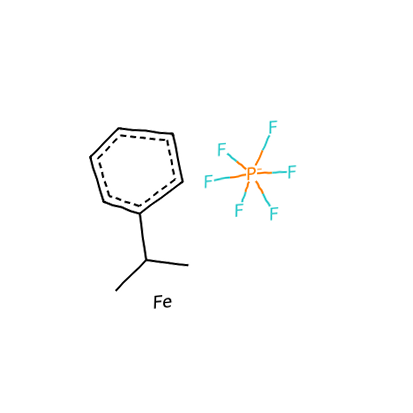 CC(C)c1ccccc1.F[P-](F)(F)(F)(F)F.[Fe]